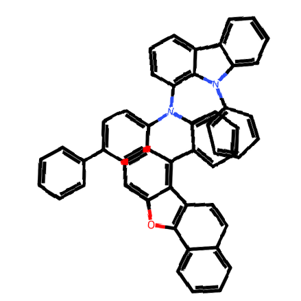 c1ccc(-c2ccc(N(c3ccccc3-c3cccc4oc5c6ccccc6ccc5c34)c3cccc4c5ccccc5n(-c5ccccc5)c34)cc2)cc1